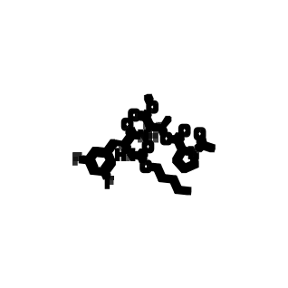 CCCCCOC(=O)N[C@@H](Cc1cc(F)cc(F)c1)C(=O)N[C@H](C(=O)OC)[C@@H](C)OC(=O)C1CCCN1C(C)=O